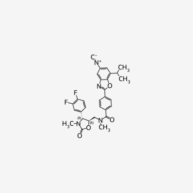 [C-]#[N+]c1cc(C(C)C)c2oc(-c3ccc(C(=O)N(C)C[C@H]4OC(=O)N(C)[C@@H]4c4ccc(F)c(F)c4)cc3)nc2c1